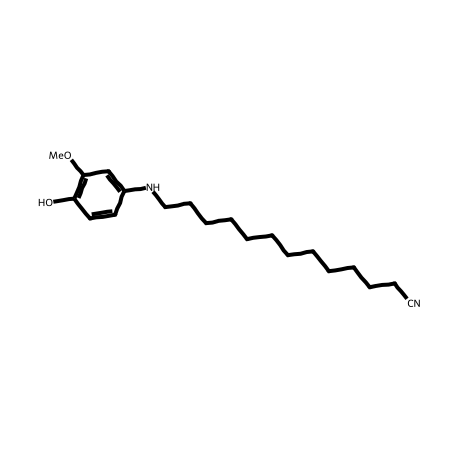 COc1cc(NCCCCCCCCCCCCC#N)ccc1O